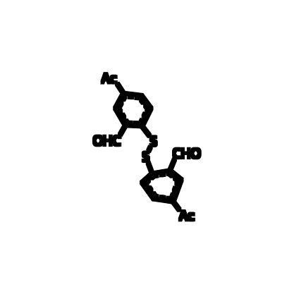 CC(=O)c1ccc(SSc2ccc(C(C)=O)cc2C=O)c(C=O)c1